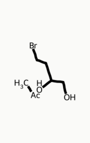 CC(C)=O.OCC(O)CCBr